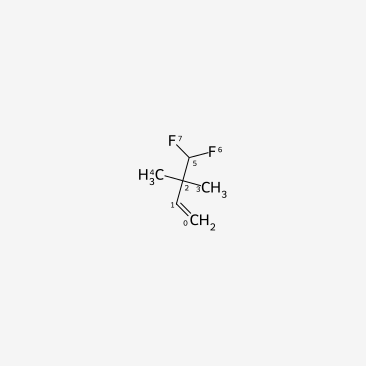 C=CC(C)(C)C(F)F